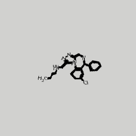 C=CCCNCc1nnc2n1-c1ccc(Cl)cc1C(c1ccccc1)=NC2